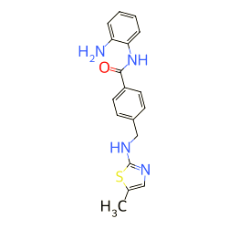 Cc1cnc(NCc2ccc(C(=O)Nc3ccccc3N)cc2)s1